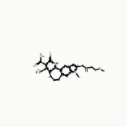 COCCNCc1cc2cc3c(cc2n1C)CCCc1c-3[nH]c(=O)c(C(=O)O)c1O